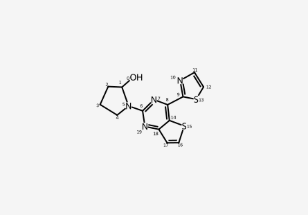 OC1CCCN1c1nc(-c2nccs2)c2sccc2n1